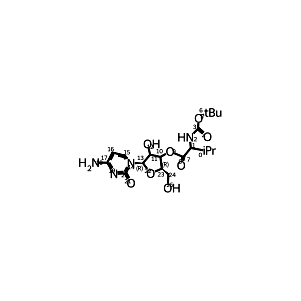 CC(C)C(NC(=O)OC(C)(C)C)C(=O)OC1C(O)[C@H](n2ccc(N)nc2=O)O[C@@H]1CO